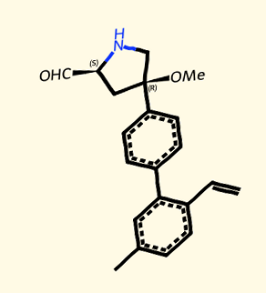 C=Cc1ccc(C)cc1-c1ccc([C@@]2(OC)CN[C@H](C=O)C2)cc1